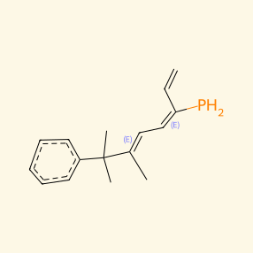 C=C/C(P)=C\C=C(/C)C(C)(C)c1ccccc1